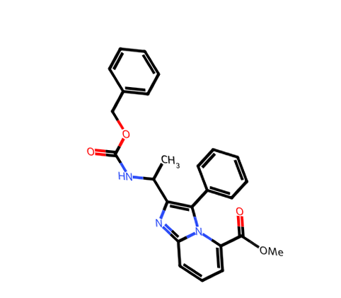 COC(=O)c1cccc2nc(C(C)NC(=O)OCc3ccccc3)c(-c3ccccc3)n12